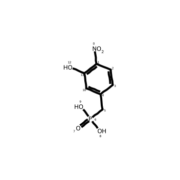 O=[N+]([O-])c1ccc(CP(=O)(O)O)cc1O